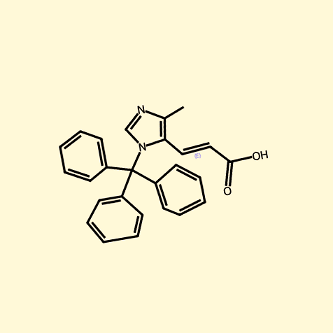 Cc1ncn(C(c2ccccc2)(c2ccccc2)c2ccccc2)c1/C=C/C(=O)O